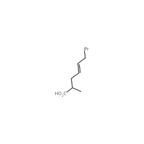 CC(C)CC=CCC(C)C(=O)O